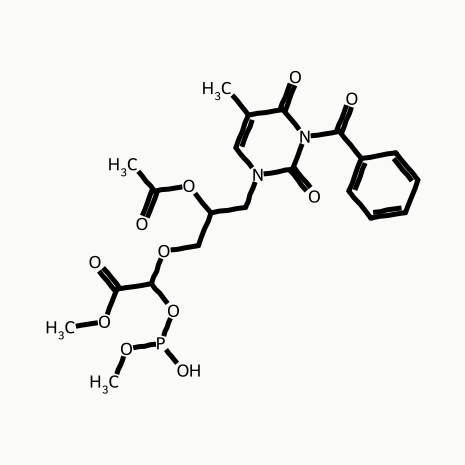 COC(=O)C(OCC(Cn1cc(C)c(=O)n(C(=O)c2ccccc2)c1=O)OC(C)=O)OP(O)OC